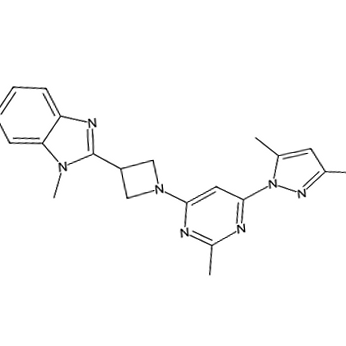 Cc1cc(C)n(-c2cc(N3CC(c4nc5ccccc5n4C)C3)nc(C)n2)n1